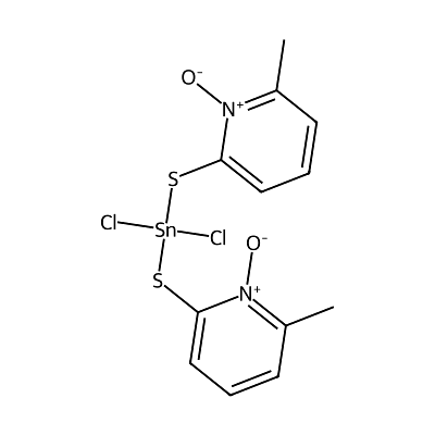 Cc1cccc([S][Sn]([Cl])([Cl])[S]c2cccc(C)[n+]2[O-])[n+]1[O-]